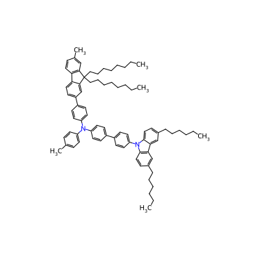 CCCCCCCCC1(CCCCCCCC)c2cc(C)ccc2-c2ccc(-c3ccc(N(c4ccc(C)cc4)c4ccc(-c5ccc(-n6c7ccc(CCCCCC)cc7c7cc(CCCCCC)ccc76)cc5)cc4)cc3)cc21